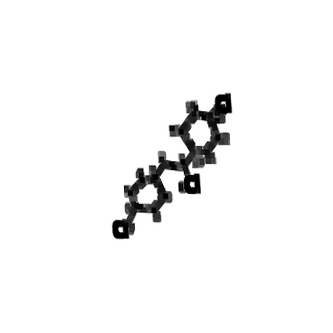 ClC(=Cc1ccc(Cl)cc1)c1ccc(Cl)cc1